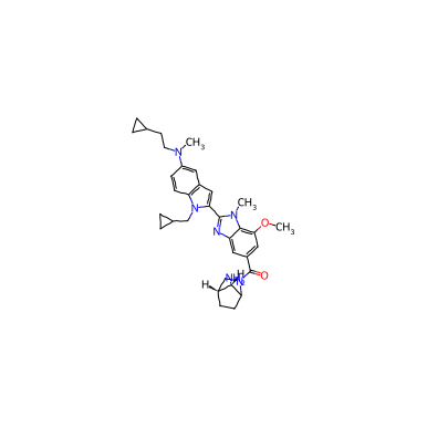 COc1cc(C(=O)N2C[C@H]3CCC2[C@H]3N)cc2nc(-c3cc4cc(N(C)CCC5CC5)ccc4n3CC3CC3)n(C)c12